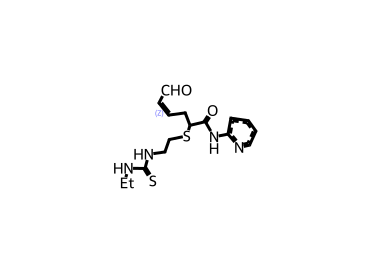 CCNC(=S)NCCSC(C/C=C\C=O)C(=O)Nc1ccccn1